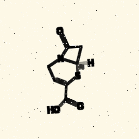 O=C(O)C1=CCN2C(=O)C[C@H]2S1